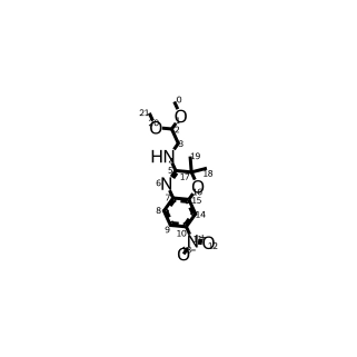 COC(CNC1=Nc2ccc([N+](=O)[O-])cc2OC1(C)C)OC